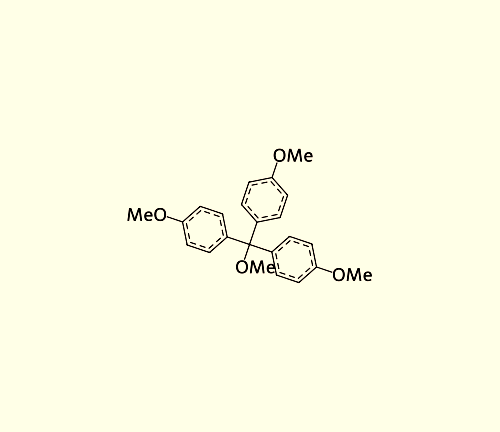 COc1ccc(C(OC)(c2ccc(OC)cc2)c2ccc(OC)cc2)cc1